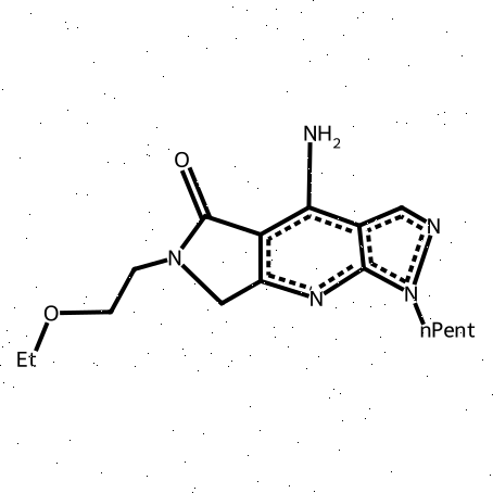 CCCCCn1ncc2c(N)c3c(nc21)CN(CCOCC)C3=O